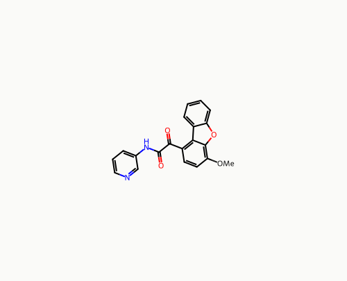 COc1ccc(C(=O)C(=O)Nc2cccnc2)c2c1oc1ccccc12